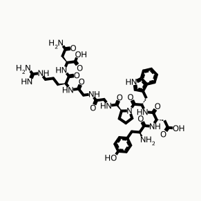 N=C(N)NCCC[C@H](NC(=O)CNC(=O)CNC(=O)[C@@H]1CCCN1C(=O)[C@H](Cc1c[nH]c2ccccc12)NC(=O)[C@H](CC(=O)O)NC(=O)[C@@H](N)Cc1ccc(O)cc1)C(=O)N[C@@H](CC(N)=O)C(=O)O